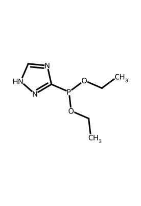 CCOP(OCC)c1nc[nH]n1